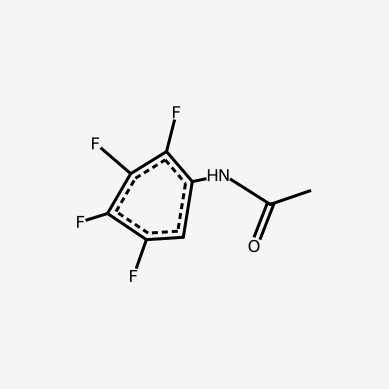 CC(=O)Nc1cc(F)c(F)c(F)c1F